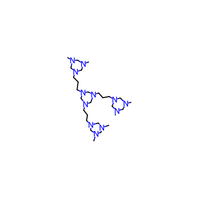 CN1CN(C)CN(CCCN2CN(CCCN3CN(C)CN(C)C3)CN(CCCN3CN(C)CN(C)C3)C2)C1